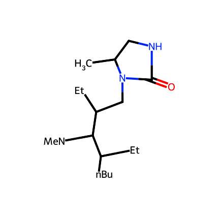 CCCCC(CC)C(NC)C(CC)CN1C(=O)NCC1C